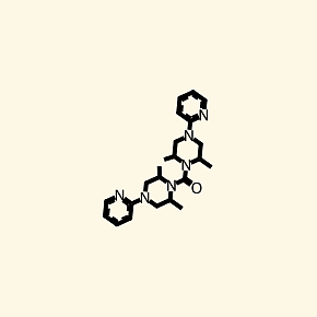 CC1CN(c2ccccn2)CC(C)N1C(=O)N1C(C)CN(c2ccccn2)CC1C